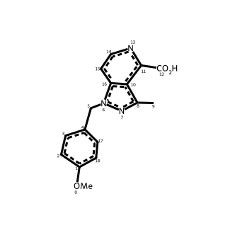 COc1ccc(Cn2nc(C)c3c(C(=O)O)nccc32)cc1